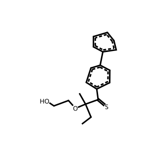 CCC(C)(OCCO)C(=S)c1ccc(-c2ccccc2)cc1